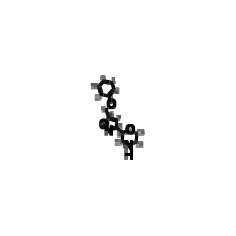 c1ccc(OCc2cc(C3CNCCO3)no2)cc1